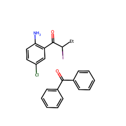 CCC(I)C(=O)c1cc(Cl)ccc1N.O=C(c1ccccc1)c1ccccc1